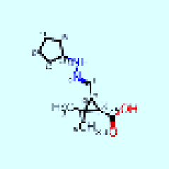 CC1(C)[C@H](C(=O)O)[C@@H]1C=NNC1CCCC1